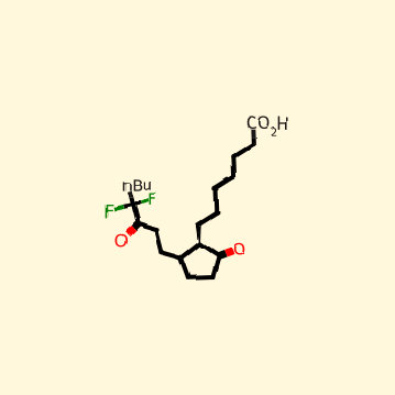 CCCCC(F)(F)C(=O)CCC1CCC(=O)[C@@H]1CCCCCCC(=O)O